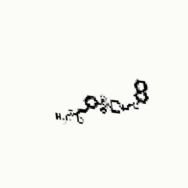 COC(=O)/C=C/c1cccc(S(=O)(=O)N2CCN(CCOc3ccc4ccccc4c3)CC2)c1